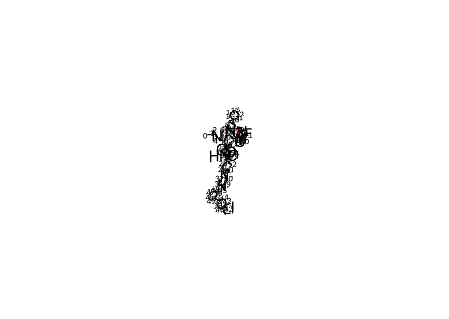 CC(C)N(C)CC[C@H](CSc1ccccc1)Nc1ccc(S(=O)(=O)NC(=O)c2ccc(N3CCN(CC4=C(c5ccc(Cl)cc5)CCCC4)CC3)cc2)cc1S(=O)(=O)C(F)(F)F